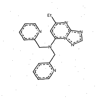 CCc1cc(N(Cc2ccccn2)Cc2ccccn2)n2ncnc2n1